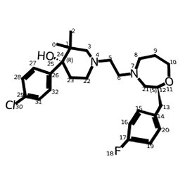 CC1(C)CN(CCN2CCCO[C@@H](Cc3ccc(F)cc3)C2)CC[C@@]1(O)c1ccc(Cl)cc1